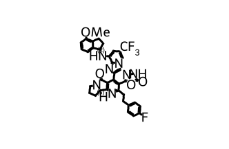 COc1cccc2c1CC[C@H]2Nc1cc(C(F)(F)F)cn2cc(-c3c4c(nc(CCc5ccc(F)cc5)c3-c3n[nH]c(=O)o3)[C@@H]3CCCN3C4=O)nc12